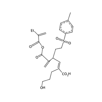 C=C(CC)C(=O)OC(=O)C(=C)C(C=C(CCCO)C(=O)O)CCS(=O)(=O)c1ccc(C)cc1